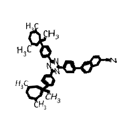 CCC1(c2ccc(-c3nc(-c4ccc(-c5ccc6cc(C#N)ccc6c5)cc4)nc(-c4ccc(C5(CC)CC(C)CC[C@H](C)C5)cc4)n3)cc2)CC(C)CC[C@H](C)C1